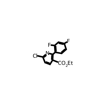 CCOC(=O)c1ccc(Cl)nc1-c1ccc(F)cc1F